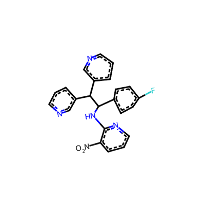 O=[N+]([O-])c1cccnc1NC(c1ccc(F)cc1)C(c1cccnc1)c1cccnc1